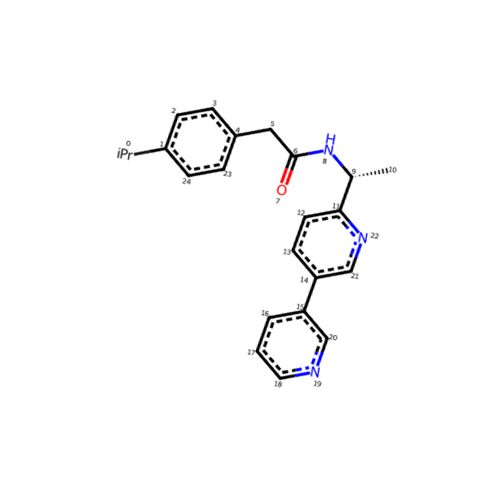 CC(C)c1ccc(CC(=O)N[C@H](C)c2ccc(-c3cccnc3)cn2)cc1